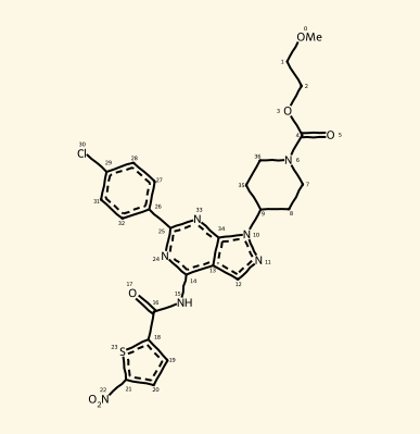 COCCOC(=O)N1CCC(n2ncc3c(NC(=O)c4ccc([N+](=O)[O-])s4)nc(-c4ccc(Cl)cc4)nc32)CC1